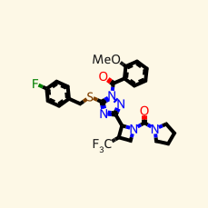 COc1ccccc1C(=O)n1nc(C2C(C(F)(F)F)CN2C(=O)N2CCCC2)nc1SCc1ccc(F)cc1